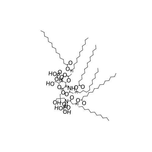 CCCCCCCCCCCCCC(=O)O[C@H](CCCCCCCCCCC)CC(=O)NCC(CO)(CO[C@@H]1OC(CO)[C@@H](OP(=O)(O)O)C(OC(=O)C[C@@H](CCCCCCCCCCC)OC(=O)CCCCCCCCCCCCC)[C@@H]1NC(=O)C[C@@H](CCCCCCCCCCC)OC(=O)CCCCCCCCCCCCC)COP(=O)(O)O